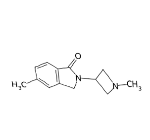 Cc1ccc2c(c1)CN(C1CN(C)C1)C2=O